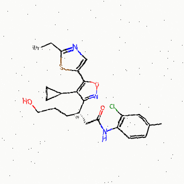 Cc1ccc(NC(=O)C[C@H](CCCO)c2noc(-c3cnc(CC(C)C)s3)c2C2CC2)c(Cl)c1